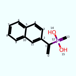 C=C(c1ccc2ccccc2c1)P(=C)(O)O